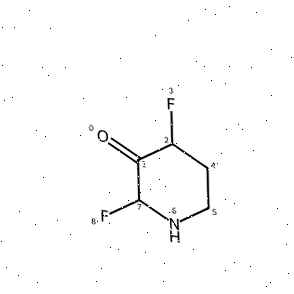 O=C1C(F)CCNC1F